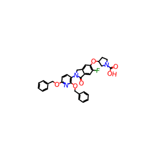 O=C(O)N1CCC(Oc2cc3c(cc2F)C(=O)N(c2ccc(OCc4ccccc4)nc2OCc2ccccc2)C3)C1